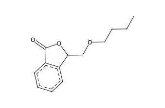 CCCCOCC1OC(=O)c2ccccc21